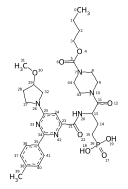 CCCCOC(=O)N1CCN(C(=O)C(CCP(=O)(O)O)NC(=O)c2cc(N3CCC(OC)C3)nc(-c3ccc(C)cc3)n2)CC1